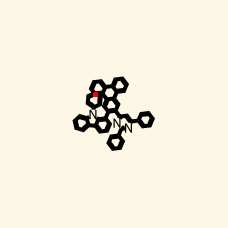 c1ccc(-c2cc(-c3cc4c5ccccc5c5ccccc5c4cc3-c3cccc4c5ccccc5n(-c5ccccc5)c34)nc(-c3ccccc3)n2)cc1